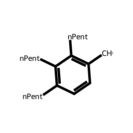 [CH]c1ccc(CCCCC)c(CCCCC)c1CCCCC